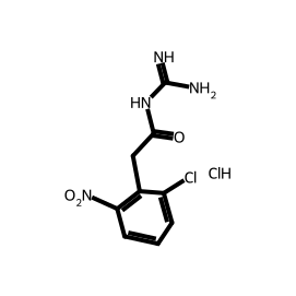 Cl.N=C(N)NC(=O)Cc1c(Cl)cccc1[N+](=O)[O-]